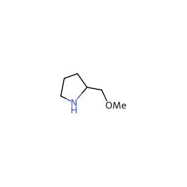 COCC1CCCN1